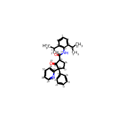 CC(C)c1cccc(C(C)C)c1NC(=O)C1CCC(c2ccccc2)(c2ccccn2)C1=O